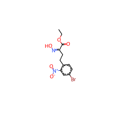 CCOC(=O)C(CCc1ccc(Br)cc1[N+](=O)[O-])=NO